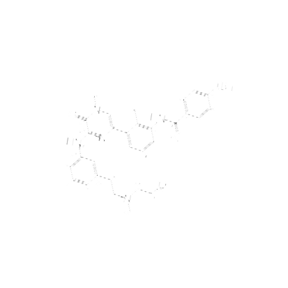 Cc1c(NC(=O)c2ccc(C(C)(C)C)cc2)cccc1-c1cn(C)c(=O)c(Nc2cccc(CCN(C)CCO)c2)n1